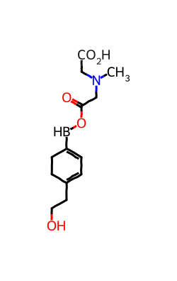 CN(CC(=O)O)CC(=O)OBC1=CC=C(CCO)CC1